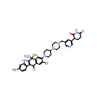 CCc1cc2c(cc1N1CCC(N3CCN(Cc4cncc(C5CCC(=O)NC5=O)c4)CC3)CC1)C(C)(C)c1[nH]c3cc(C#N)ccc3c1C2=O